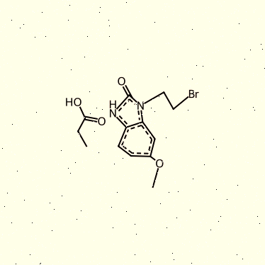 CCC(=O)O.COc1ccc2[nH]c(=O)n(CCBr)c2c1